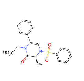 CC(C)[C@H]1C(=O)N(CC(=O)O)C(c2ccccc2)=CN1S(=O)(=O)c1ccccc1